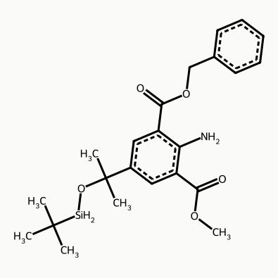 COC(=O)c1cc(C(C)(C)O[SiH2]C(C)(C)C)cc(C(=O)OCc2ccccc2)c1N